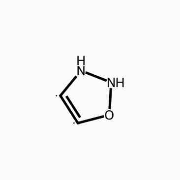 [C]1=[C]ONN1